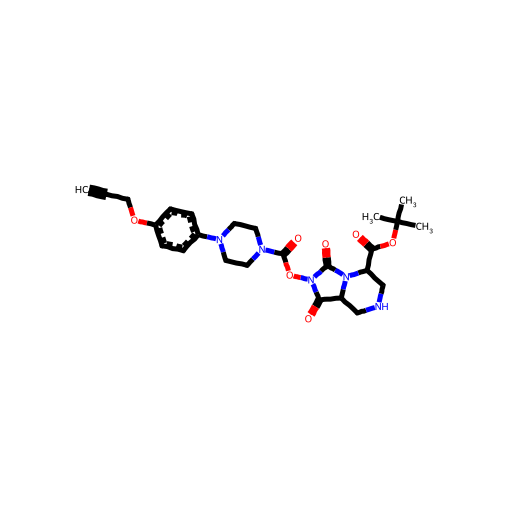 C#CCOc1ccc(N2CCN(C(=O)ON3C(=O)C4CNCC(C(=O)OC(C)(C)C)N4C3=O)CC2)cc1